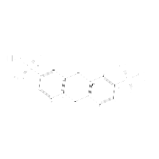 O=S(=O)(O)c1ccc2c(c1)Cc1cc(S(=O)(=O)O)ccc1C2